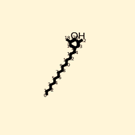 CCCCCCCCCCCCCCCc1cc(C)c(O)c(C)c1